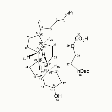 CC(C)CCCC(C)[C@H]1CC[C@H]2[C@@H]3CC=C4C[C@@H](O)CC[C@]4(C)[C@H]3CC[C@]12C.CCCCCCCCCCCCOC(=O)O